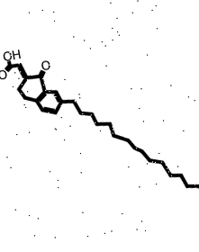 CCCCCCCCCCCCCCCCc1ccc2c(c1)C(=O)/C(=C/C(=O)O)CC2